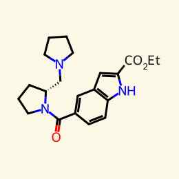 CCOC(=O)c1cc2cc(C(=O)N3CCC[C@@H]3CN3CCCC3)ccc2[nH]1